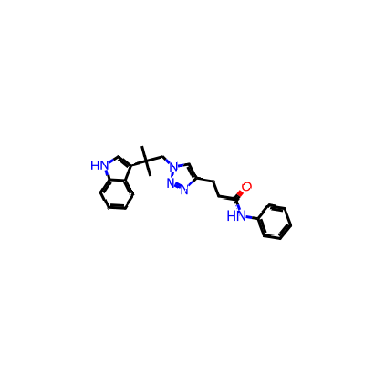 CC(C)(Cn1cc(CCC(=O)Nc2ccccc2)nn1)c1c[nH]c2ccccc12